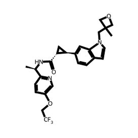 C[C@@H](NC(=O)[C@@H]1C[C@H]1c1ccc2ccn(CC3(C)COC3)c2c1)c1ccc(OCC(F)(F)F)cn1